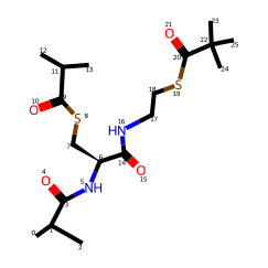 CC(C)C(=O)N[C@@H](CSC(=O)C(C)C)C(=O)NCCSC(=O)C(C)(C)C